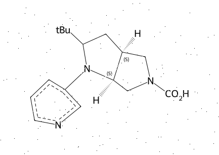 CC(C)(C)C1C[C@H]2CN(C(=O)O)C[C@H]2N1c1cccnc1